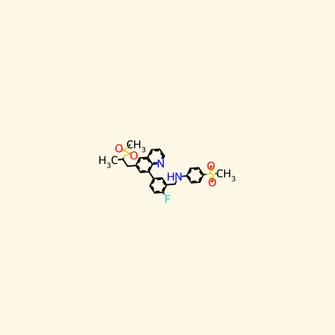 CC(Cc1cc(-c2ccc(F)c(CNc3ccc(S(C)(=O)=O)cc3)c2)c2ncccc2c1)S(C)(=O)=O